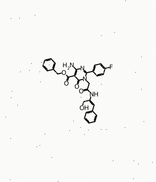 Nc1nc(-c2ccc(F)cc2)n(CC(=O)NC(=Cc2ccccc2)CO)c(=O)c1C(=O)OCc1ccccc1